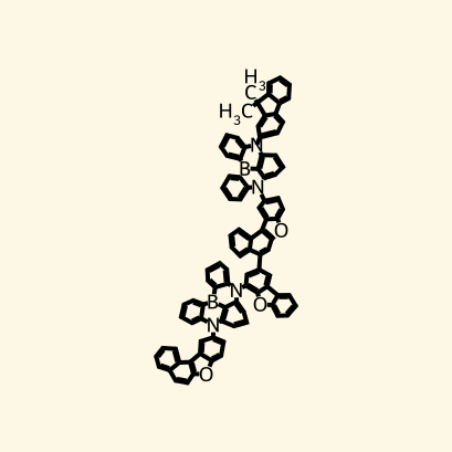 CC1(C)c2ccccc2-c2ccc(N3c4ccccc4B4c5ccccc5N(c5ccc6oc7cc(-c8cc(N9c%10ccccc%10B%10c%11ccccc%11N(c%11ccc%12oc%13ccc%14ccccc%14c%13c%12c%11)c%11cccc9c%11%10)c9oc%10ccccc%10c9c8)c8ccccc8c7c6c5)c5cccc3c54)cc21